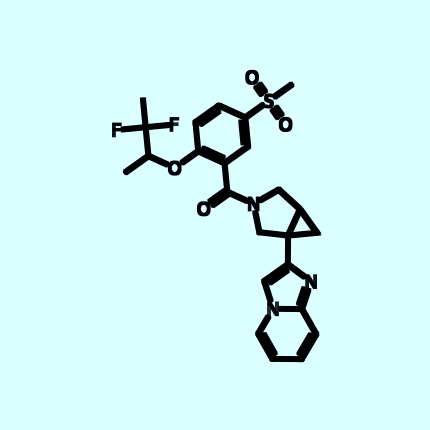 CC(Oc1ccc(S(C)(=O)=O)cc1C(=O)N1CC2CC2(c2cn3ccccc3n2)C1)C(C)(F)F